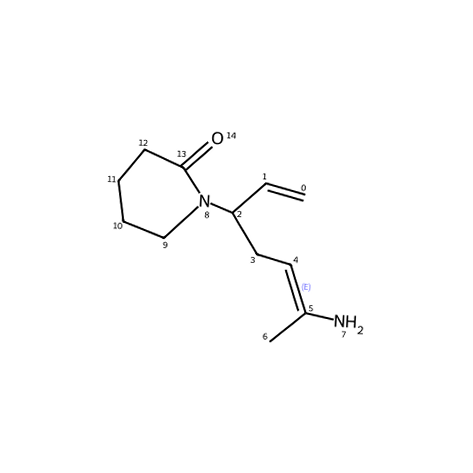 C=CC(C/C=C(\C)N)N1CCCCC1=O